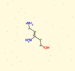 NCC=C(N)CCO